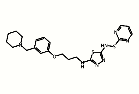 c1cnc(SNc2nnc(NCCCOc3cccc(CN4CCCCC4)c3)s2)nc1